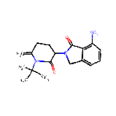 C=C1CCC(N2Cc3cccc(N)c3C2=O)C(=O)N1C(C)(C)C